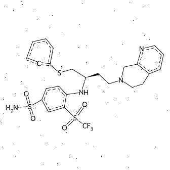 NS(=O)(=O)c1ccc(N[C@H](CCN2CCc3cccnc3C2)CSc2ccccc2)c(S(=O)(=O)C(F)(F)F)c1